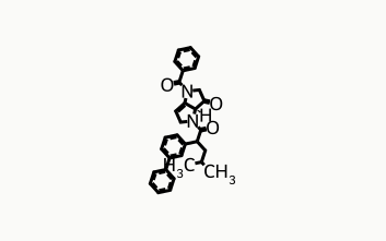 CC(C)CC(C(=O)N1CC=C2[C@H]1C(=O)CN2C(=O)c1ccccc1)c1cccc(-c2ccccc2)c1